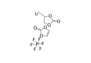 CC1COC(=O)O1.F[P-](F)(F)(F)(F)F.O=c1occo1.[Li+]